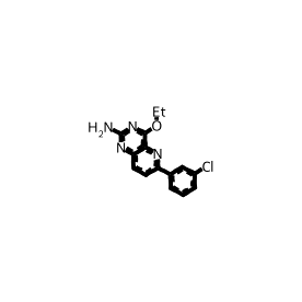 CCOc1nc(N)nc2ccc(-c3cccc(Cl)c3)nc12